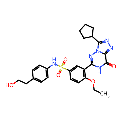 CCOc1ccc(S(=O)(=O)Nc2ccc(CCO)cc2)cc1-c1nn2c(C3CCCC3)nnc2c(=O)[nH]1